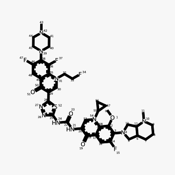 COc1c(N2CC3CCCN(C)C3C2)c(F)cc2c(=O)c(NC(=O)Nc3nnc(-c4cn(CCF)c5c(F)c(N6CCN(C)CC6)c(F)cc5c4=O)s3)cn(C3CC3)c12